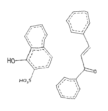 O=C(C=Cc1ccccc1)c1ccccc1.O=S(=O)(O)c1ccc2ccccc2c1O